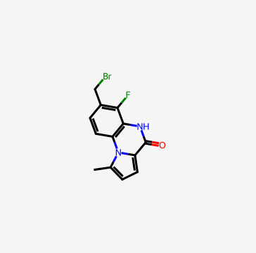 Cc1ccc2c(=O)[nH]c3c(F)c(CBr)ccc3n12